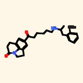 COc1ccccc1CC(C)NCCCCCC(=O)c1cc2c3c(c1)CCN3C(=O)CC2